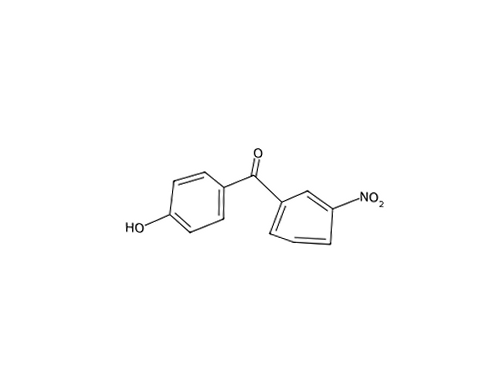 O=C(c1ccc(O)cc1)c1cccc([N+](=O)[O-])c1